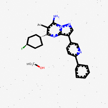 CC(=O)c1c(N)n2ncc(-c3ccc(-c4ccccc4)nc3)c2nc1[C@H]1CC[C@H](F)CC1.O=C(O)O